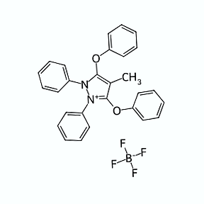 Cc1c(Oc2ccccc2)n(-c2ccccc2)[n+](-c2ccccc2)c1Oc1ccccc1.F[B-](F)(F)F